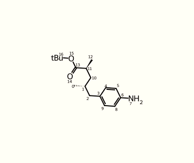 C[C@@H](Cc1ccc(N)cc1)C[C@H](C)C(=O)OC(C)(C)C